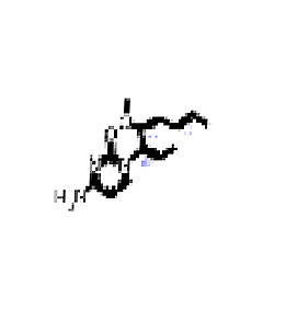 C/C=C/C=C(OC)\C(=C/C)n1ccc(N)nc1=O